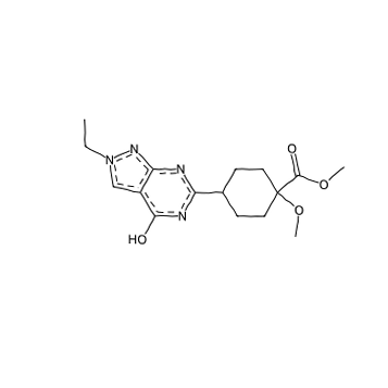 CCn1cc2c(O)nc(C3CCC(OC)(C(=O)OC)CC3)nc2n1